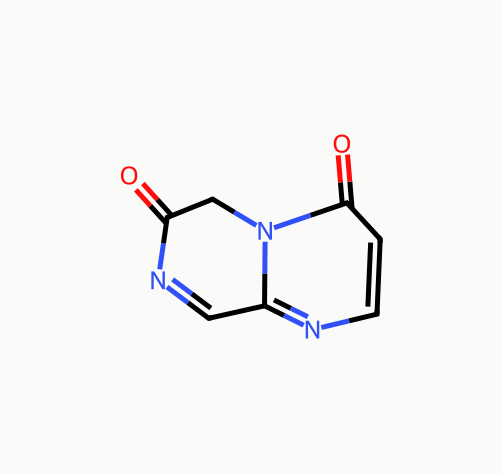 O=C1Cn2c(nccc2=O)C=N1